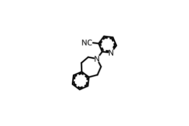 N#Cc1cccnc1N1CCc2ccccc2CC1